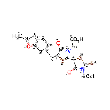 CCCCCCCCN1C(=O)/C(=c2\s/c(=C/c3ccc4cc(C)oc4c3)c(=O)n2CC(=O)O)SC1=S